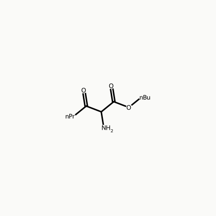 CCCCOC(=O)C(N)C(=O)CCC